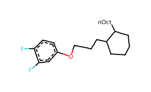 CCCCCCCCC1CCCCC1CCCOc1ccc(F)c(F)c1